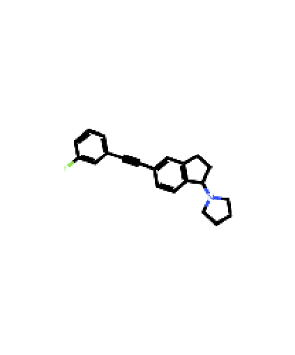 Fc1cccc(C#Cc2ccc3c(c2)CCC3N2CCCC2)c1